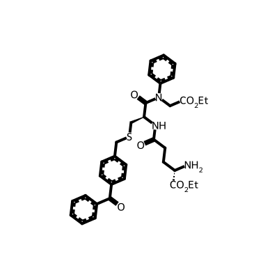 CCOC(=O)CN(C(=O)[C@H](CSCc1ccc(C(=O)c2ccccc2)cc1)NC(=O)CC[C@H](N)C(=O)OCC)c1ccccc1